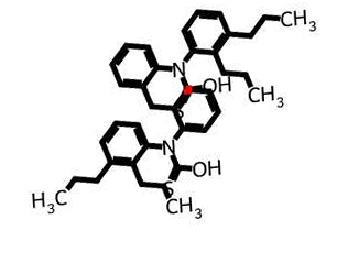 CCCc1cccc(N(C(O)=S)c2ccccc2Cc2ccccc2N(C(O)=S)c2cccc(CCC)c2CCC)c1CCC